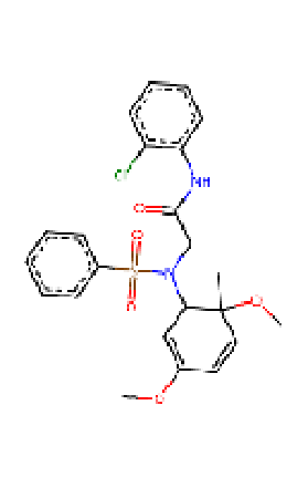 COC1=CC(N(CC(=O)Nc2ccccc2Cl)S(=O)(=O)c2ccccc2)C(C)(OC)C=C1